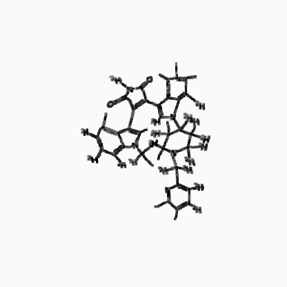 [2H]c1c(C([2H])([2H])N2C([2H])([2H])C([2H])([2H])C([2H])(n3c([2H])c(C4=C(c5c(C)n(C([2H])([2H])C)c6c([2H])c([2H])c([2H])c(C)c56)C(=O)N([2H])C4=O)c4c(C)c(C)c(C)c([2H])c43)C([2H])(C)C2(C)C)nc(C)c(C)c1[2H]